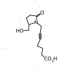 O=C(O)CCCC#CCN1C(=O)CCC1CO